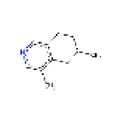 Cc1cncc2c1CC(C)CC2